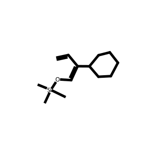 C=CC(=CO[Si](C)(C)C)C1CCCCC1